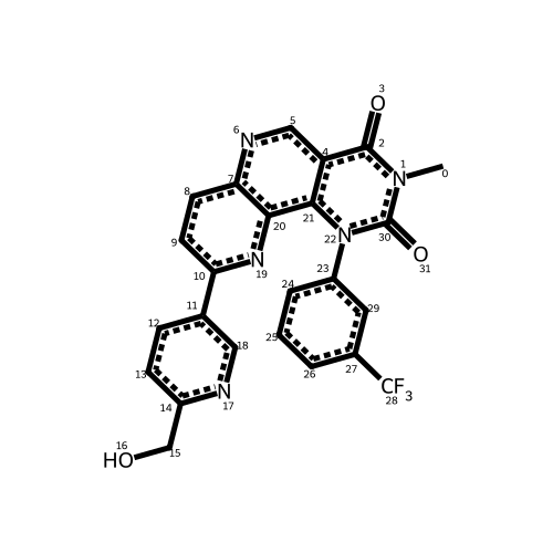 Cn1c(=O)c2cnc3ccc(-c4ccc(CO)nc4)nc3c2n(-c2cccc(C(F)(F)F)c2)c1=O